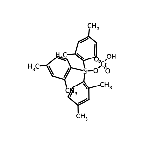 Cc1ccc([Si]([O][Cr](=[O])(=[O])[OH])(c2ccc(C)cc2C)c2ccc(C)cc2C)c(C)c1